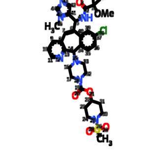 COC1(C(=O)NC(C2=Cc3cccnc3C(N3CCN(C(=O)OC4CCN(S(C)(=O)=O)CC4)CC3)c3ccc(Cl)cc32)c2cncn2C)CC1